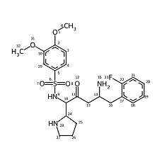 COc1ccc(S(=O)(=O)NC(C(=O)CC(N)Cc2ccccc2F)C2CCCN2)cc1OC